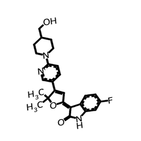 CC1(C)OC(=C2C(=O)Nc3cc(F)ccc32)C=C1c1ccc(N2CCC(CO)CC2)nc1